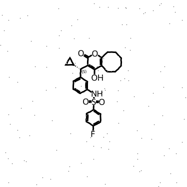 O=c1oc2c(c(O)c1[C@H](c1cccc(NS(=O)(=O)c3ccc(F)cc3)c1)C1CC1)CCCCCC2